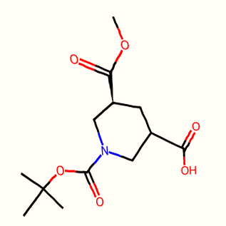 COC(=O)[C@H]1CC(C(=O)O)CN(C(=O)OC(C)(C)C)C1